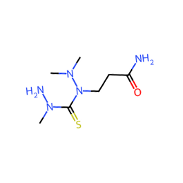 CN(N)C(=S)N(CCC(N)=O)N(C)C